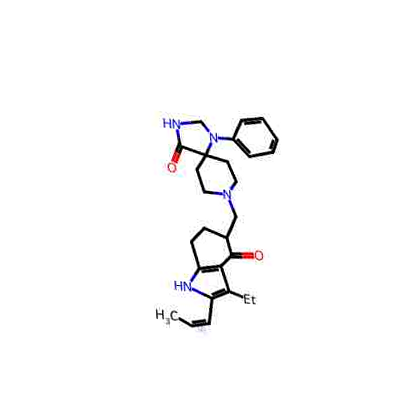 C/C=C\c1[nH]c2c(c1CC)C(=O)C(CN1CCC3(CC1)C(=O)NCN3c1ccccc1)CC2